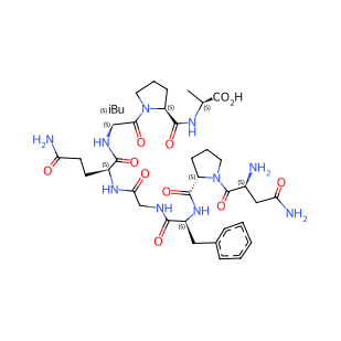 CC[C@H](C)[C@H](NC(=O)[C@H](CCC(N)=O)NC(=O)CNC(=O)[C@H](Cc1ccccc1)NC(=O)[C@@H]1CCCN1C(=O)[C@@H](N)CC(N)=O)C(=O)N1CCC[C@H]1C(=O)N[C@@H](C)C(=O)O